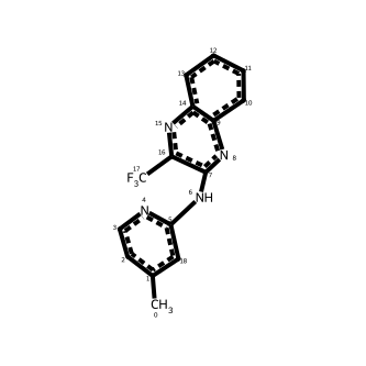 Cc1ccnc(Nc2nc3ccccc3nc2C(F)(F)F)c1